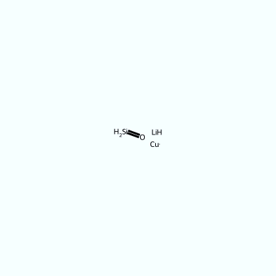 O=[SiH2].[Cu].[LiH]